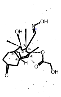 CC1CC[C@@]23CCC(=O)C[C@H]2[C@]1(C)[C@H](OC(=O)CO)C[C@@](C)(/C=N/O)[C@@H](O)[C@@H]3C